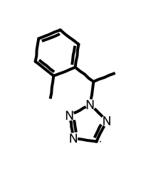 Cc1ccccc1C(C)n1n[c]nn1